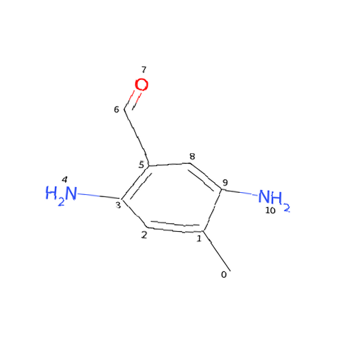 Cc1cc(N)c(C=O)cc1N